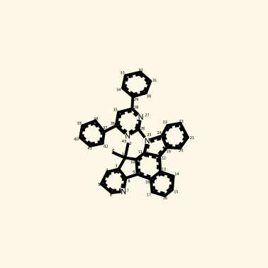 CC1(C)c2cccnc2-c2c1c1c(c3ccccc23)c2ccccc2n1-c1nc(-c2ccccc2)cc(-c2ccccc2)n1